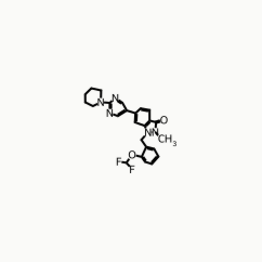 Cn1c(=O)c2ccc(-c3cnc(N4CCCCC4)nc3)cc2n1Cc1ccccc1OC(F)F